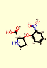 O=C(O)[C@H]1NCCC1Oc1ccccc1[N+](=O)[O-]